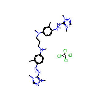 Cc1cc(N(C)CCCN(C)c2ccc(/N=N/c3n(C)nc[n+]3C)c(C)c2)ccc1/N=N/c1n(C)nc[n+]1C.[Cl][Zn-2]([Cl])([Cl])[Cl]